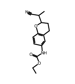 CCOC(=O)Nc1ccc2c(c1)CCC(C(C)C#N)O2